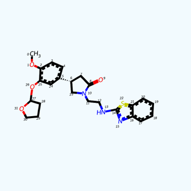 COc1ccc([C@@H]2CC(=O)N(CCNc3nc4ccccc4s3)C2)cc1OC1CCCO1